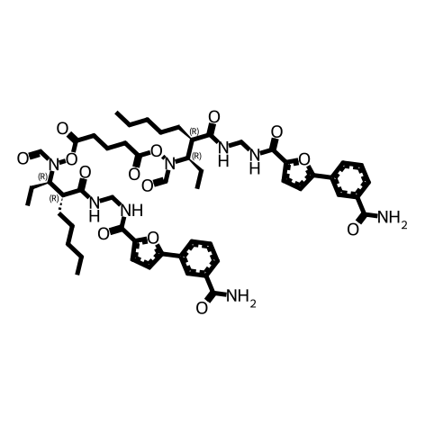 CCCCC[C@@H](C(=O)NCNC(=O)c1ccc(-c2cccc(C(N)=O)c2)o1)[C@@H](CC)N(C=O)OC(=O)CCCC(=O)ON(C=O)[C@H](CC)[C@@H](CCCCC)C(=O)NCNC(=O)c1ccc(-c2cccc(C(N)=O)c2)o1